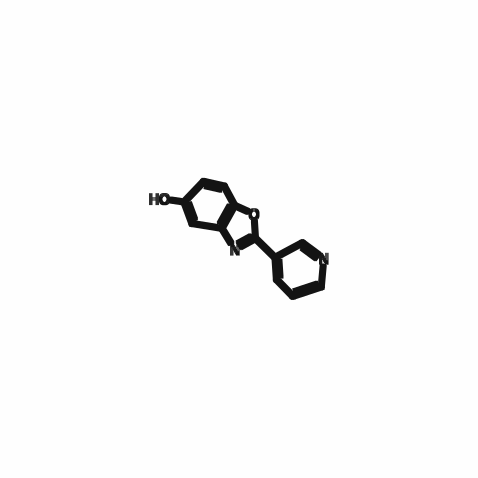 Oc1ccc2oc(-c3cccnc3)nc2c1